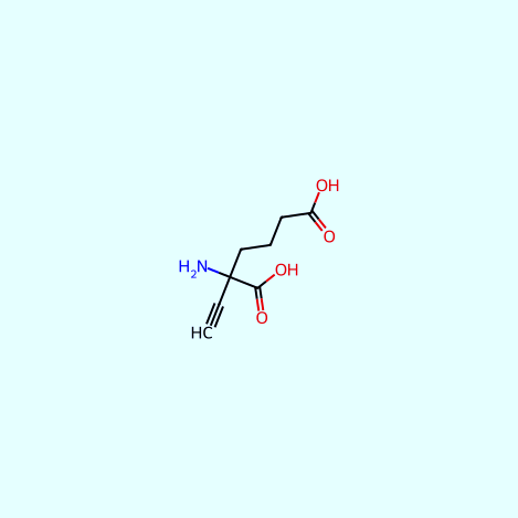 C#CC(N)(CCCC(=O)O)C(=O)O